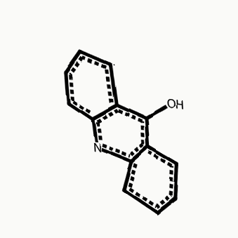 Oc1c2[c]cccc2nc2ccccc12